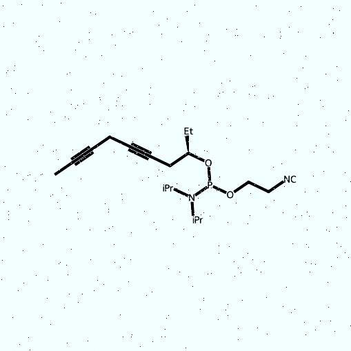 [C-]#[N+]CCOP(O[C@H](CC)CC#CCC#CC)N(C(C)C)C(C)C